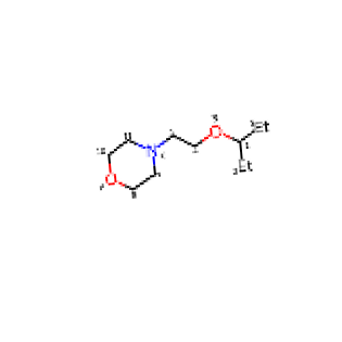 CCC(CC)OCCN1CCOCC1